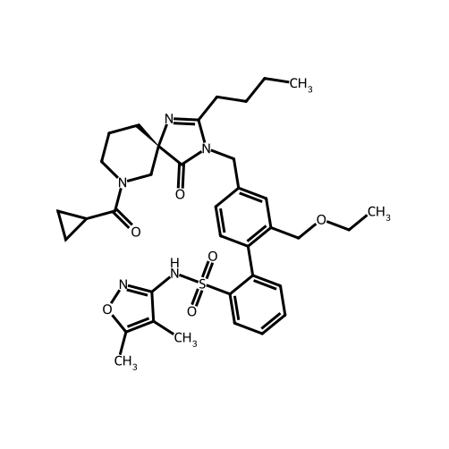 CCCCC1=N[C@]2(CCCN(C(=O)C3CC3)C2)C(=O)N1Cc1ccc(-c2ccccc2S(=O)(=O)Nc2noc(C)c2C)c(COCC)c1